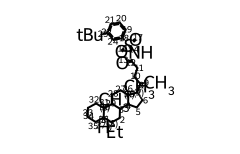 CC[C@H]1CC2C3CC[C@H]([C@H](C)CCC(=O)NS(=O)(=O)c4cccc(C(C)(C)C)c4)[C@@]3(C)CCC2[C@@]2(C)CCCC[C@@H]12